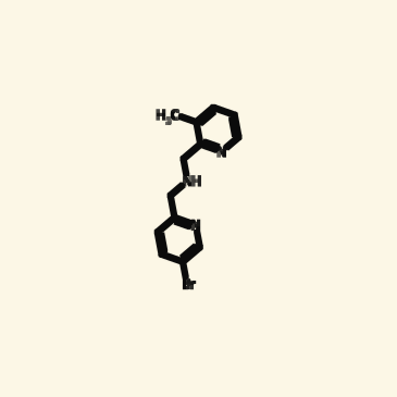 Cc1cccnc1CNCc1ccc(Br)cn1